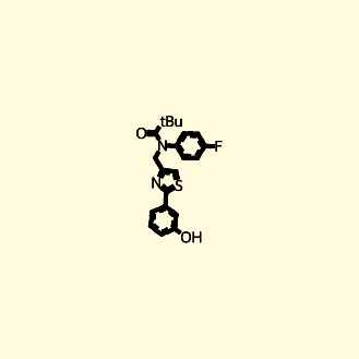 CC(C)(C)C(=O)N(Cc1csc(-c2cccc(O)c2)n1)c1ccc(F)cc1